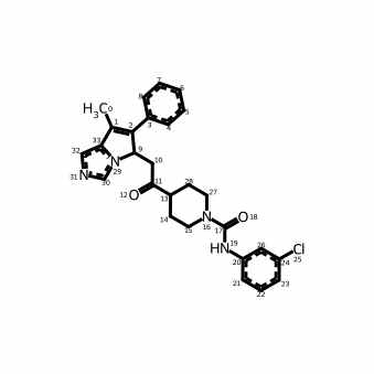 CC1=C(c2ccccc2)C(CC(=O)C2CCN(C(=O)Nc3cccc(Cl)c3)CC2)n2cncc21